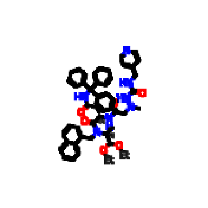 CCOC(OCC)[C@H](C)N(Cc1cccc2ccccc12)C(=O)[C@H](CC(=O)NC(c1ccccc1)(c1ccccc1)c1ccccc1)NC(=O)CN(C)NC(=O)NCc1ccncc1